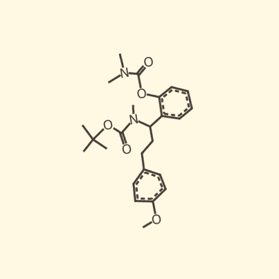 COc1ccc(CCC(c2ccccc2OC(=O)N(C)C)N(C)C(=O)OC(C)(C)C)cc1